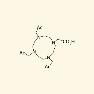 CC(=O)CN1CCN(CC(C)=O)CCN(CC(=O)O)CCN(CC(C)=O)CC1